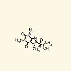 CC(C)S(=O)(=O)c1nc2c(c(=O)n(C)c(=O)n2C)n1C